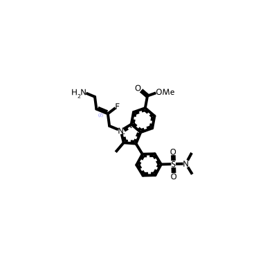 COC(=O)c1ccc2c(-c3cccc(S(=O)(=O)N(C)C)c3)c(C)n(C/C(F)=C/CN)c2c1